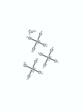 [Cu+3].[O-][I+3]([O-])([O-])[O-].[O-][I+3]([O-])([O-])[O-].[O-][I+3]([O-])([O-])[O-]